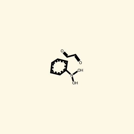 O=CC=O.ON(O)c1ccccc1